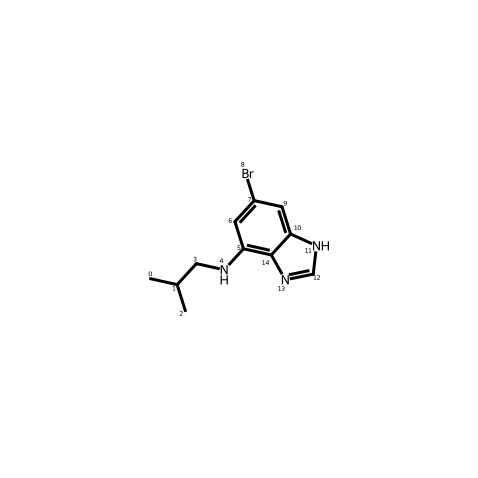 CC(C)CNc1cc(Br)cc2[nH]cnc12